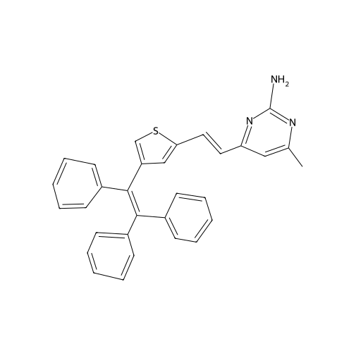 Cc1cc(C=Cc2cc(C(=C(c3ccccc3)c3ccccc3)c3ccccc3)cs2)nc(N)n1